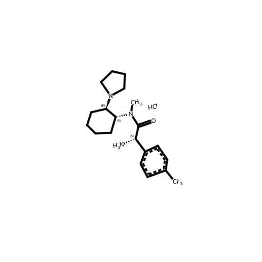 CN(C(=O)[C@@H](N)c1ccc(C(F)(F)F)cc1)[C@@H]1CCCC[C@H]1N1CCCC1.Cl